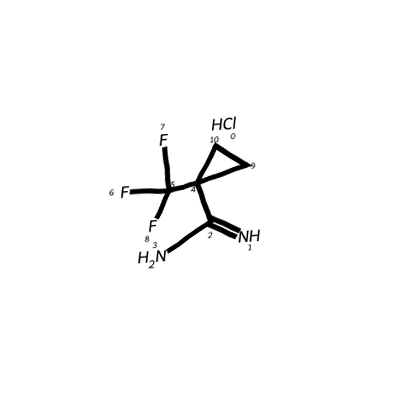 Cl.N=C(N)C1(C(F)(F)F)CC1